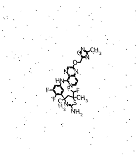 Cc1noc(COc2cnc3c(Nc4cc(F)c(F)c([C@]5(C)C[C@](C)(C(F)F)SC(N)=N5)c4)nccc3n2)n1